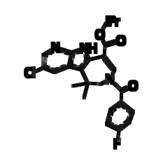 CC(C)OC(=O)C1=CN(C(=O)c2ccc(F)cc2)CC(C)(C)c2c1[nH]c1ncc(Cl)cc21